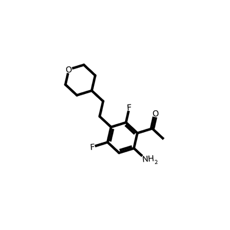 CC(=O)c1c(N)cc(F)c(CCC2CCOCC2)c1F